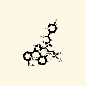 COc1cccc(-c2nnc(N(CC[Si](C)(C)C)S(=O)(=O)CC(O)c3ccc(F)cn3)n2-c2c(OC)cccc2OC)n1